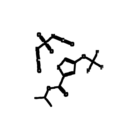 CC(C)OC(=O)c1cc(OC(F)(F)F)cs1.O=C=NS(=O)(=O)N=C=O